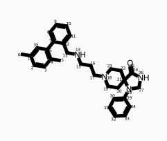 Cc1ccc(C)c(-c2ccccc2CNCCCN2CCC3(CC2)C(=O)NCN3c2ccccc2)c1